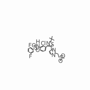 CC(C)(C)c1nc(-c2cccc(NS(=O)(=O)c3cc(F)ccc3F)c2Cl)c(-c2ccnc(CCS(C)(=O)=O)n2)s1